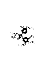 COc1ccc([C@H]2[C@@H](CN(C)C)C(=O)N2c2cc(OC)c(OC)c(OC)c2)cc1O